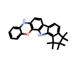 CC1(C)c2ccc3c([nH]c4c5c(ccc43)Nc3ccccc3O5)c2C(C)(C)C1(C)C